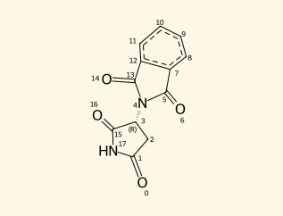 O=C1C[C@@H](N2C(=O)c3ccccc3C2=O)C(=O)N1